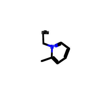 CCCCC[n+]1ccccc1C